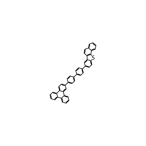 c1ccc2c(c1)ccc1c3cc(-c4ccc(-c5ccc(-c6ccc7c8ccccc8c8ccccc8c7c6)cc5)cc4)ccc3sc21